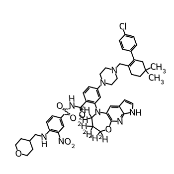 [2H]C1([2H])Oc2nc3[nH]ccc3cc2N(c2cc(N3CCN(CC4=C(c5ccc(Cl)cc5)CC(C)(C)CC4)CC3)ccc2C(=O)NS(=O)(=O)c2ccc(NCC3CCOCC3)c([N+](=O)[O-])c2)C([2H])([2H])C1([2H])[2H]